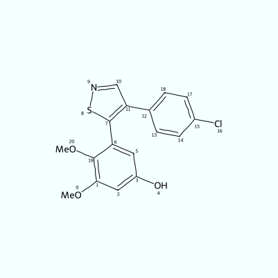 COc1cc(O)cc(-c2sncc2-c2ccc(Cl)cc2)c1OC